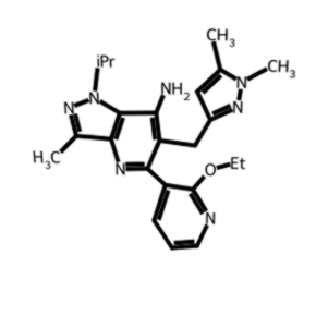 CCOc1ncccc1-c1nc2c(C)nn(C(C)C)c2c(N)c1Cc1cc(C)n(C)n1